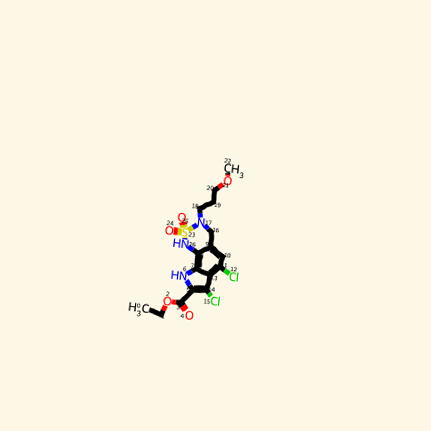 CCOC(=O)c1[nH]c2c3c(cc(Cl)c2c1Cl)CN(CCCOC)S(=O)(=O)N3